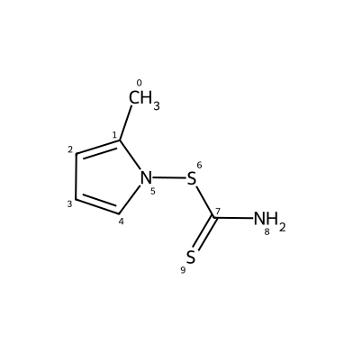 Cc1cccn1SC(N)=S